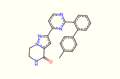 Cc1ccc(-c2ccccc2-c2nccc(-c3cc4n(n3)CCNC4=O)n2)cc1